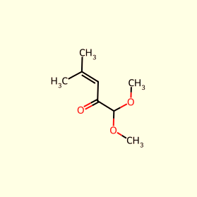 COC(OC)C(=O)C=C(C)C